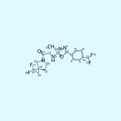 C[C@H](Nc1nnc(-c2ccc(C(F)F)cc2)o1)C(=O)N1CC[C@@]2(C1)CC2(F)F